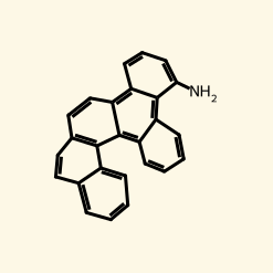 Nc1cccc2c3ccc4ccc5ccccc5c4c3c3ccccc3c12